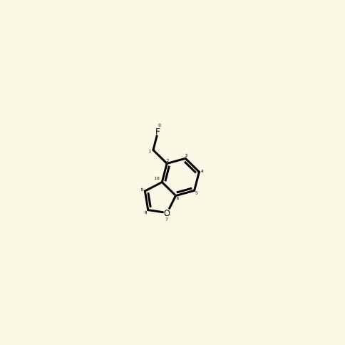 FCc1cccc2occc12